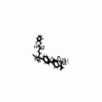 Cc1noc(-c2ccc(-c3ccc(C4(C(=O)O)CC4)cc3)cc2)c1CCC(=O)NCc1ccccc1